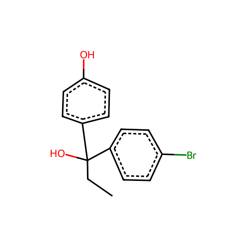 CCC(O)(c1ccc(O)cc1)c1ccc(Br)cc1